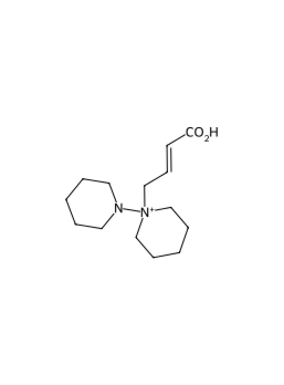 O=C(O)C=CC[N+]1(N2CCCCC2)CCCCC1